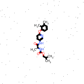 Cc1cccc(Oc2ccc(NC(=O)[C@@H](C)NC(=O)OCC(C)C)cn2)c1C